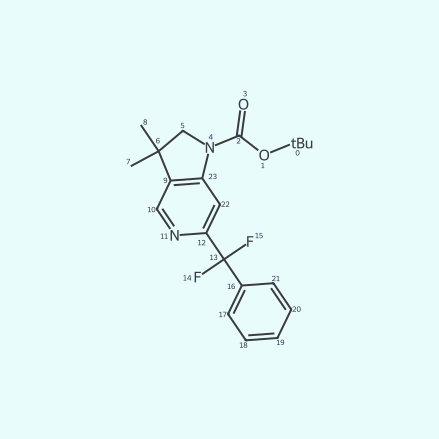 CC(C)(C)OC(=O)N1CC(C)(C)c2cnc(C(F)(F)c3ccccc3)cc21